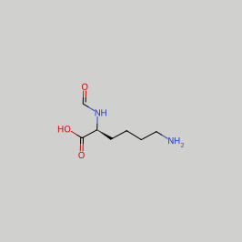 NCCCC[C@H](NC=O)C(=O)O